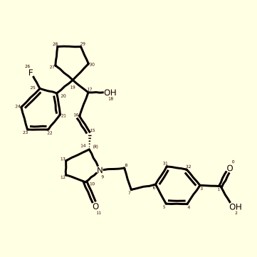 O=C(O)c1ccc(CCN2C(=O)CC[C@@H]2C=CC(O)C2(c3ccccc3F)CCCC2)cc1